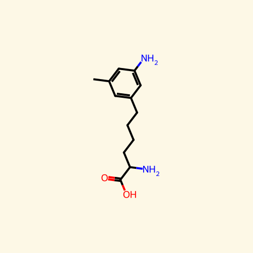 Cc1cc(N)cc(CCCCC(N)C(=O)O)c1